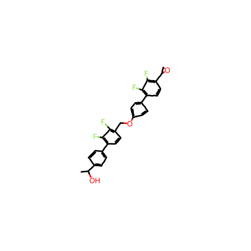 CC(O)c1ccc(-c2ccc(COc3ccc(-c4ccc(C5CO5)c(F)c4F)cc3)c(F)c2F)cc1